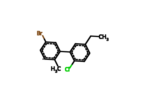 CCc1ccc(Cl)c(-c2cc(Br)c[c]c2C)c1